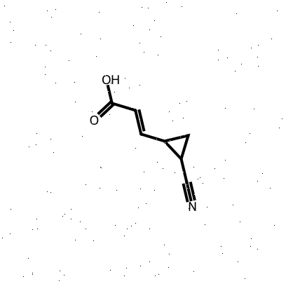 N#CC1CC1C=CC(=O)O